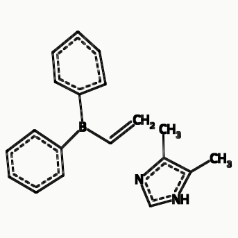 C=CB(c1ccccc1)c1ccccc1.Cc1nc[nH]c1C